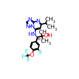 CC(C)c1cc(N[C@H](c2ccc(OC(F)(F)F)c(F)c2)C(C)(C)O)n2ncnc2n1